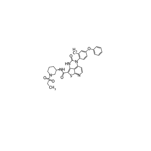 CCS(=O)(=O)N1CCC[C@@H](NC(=O)c2sc3nccc4c3c2NC(=O)N4c2ccc(Oc3ccccc3)cc2C)C1